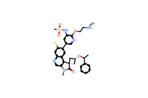 CC(C)NCCOc1ncc(-c2cc3c(cc2F)ncc2c3[C@]3(C[C@@H](OC(C)c4ccccc4)C3)C(=O)N2C)cc1NS(C)(=O)=O